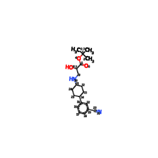 CC(C)(C)OC(=O)C(O)CNC1CCC(c2cccc(C#N)c2)CC1